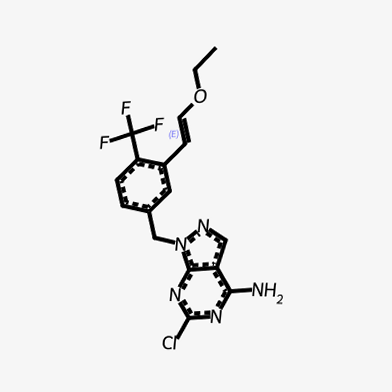 CCO/C=C/c1cc(Cn2ncc3c(N)nc(Cl)nc32)ccc1C(F)(F)F